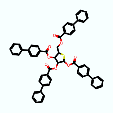 O=C(OCC1SC(OC(=O)c2ccc(-c3ccccc3)cc2)C(OC(=O)c2ccc(-c3ccccc3)cc2)C1OC(=O)c1ccc(-c2ccccc2)cc1)c1ccc(-c2ccccc2)cc1